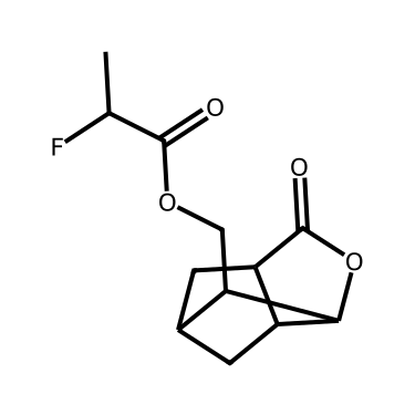 CC(F)C(=O)OCC1C2CC3C(=O)OC1C3C2